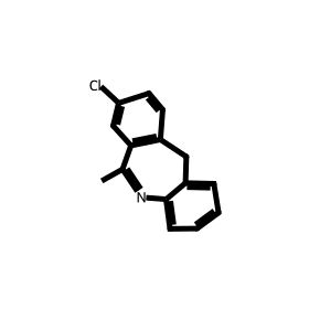 CC1=Nc2ccccc2Cc2ccc(Cl)cc21